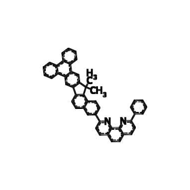 CC1(C)c2cc3c4ccccc4c4ccccc4c3cc2-c2ccc3cc(-c4ccc5ccc6ccc(-c7ccccc7)nc6c5n4)ccc3c21